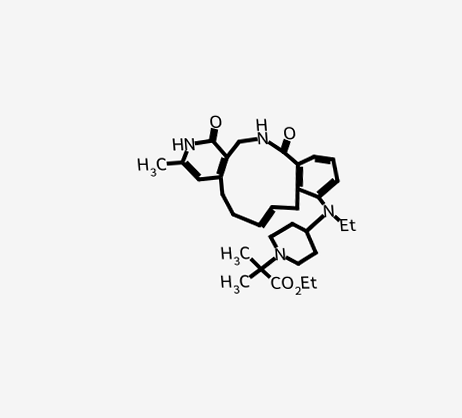 CCOC(=O)C(C)(C)N1CCC(N(CC)c2cccc3c2C/C=C/CCc2cc(C)[nH]c(=O)c2CNC3=O)CC1